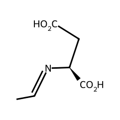 CC=N[C@@H](CC(=O)O)C(=O)O